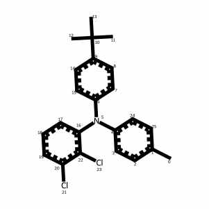 Cc1ccc(N(c2ccc(C(C)(C)C)cc2)c2cccc(Cl)c2Cl)cc1